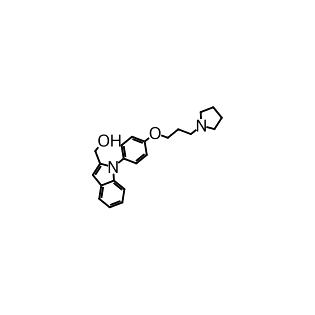 OCc1cc2ccccc2n1-c1ccc(OCCCN2CCCC2)cc1